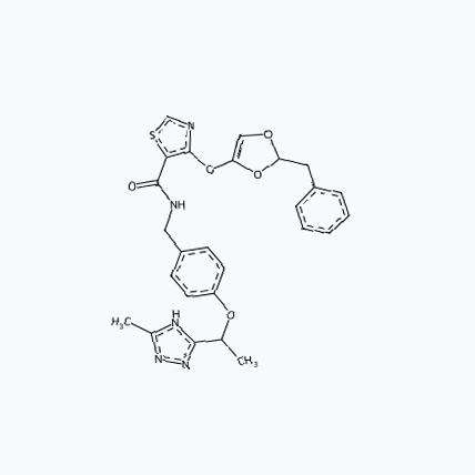 Cc1nnc(C(C)Oc2ccc(CNC(=O)c3scnc3OC3=COC(Cc4ccccc4)O3)cc2)[nH]1